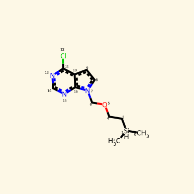 C[SiH](C)CCOCn1ccc2c(Cl)ncnc21